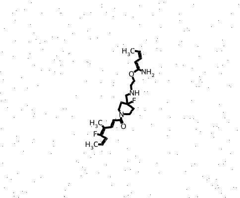 C/C=C\C=C(/N)OCCNCC1(F)CCN(C(=O)/C=C/C(C)=C(F)\C=C/C)CC1